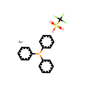 O=S(=O)([O-])C(F)(F)F.[Au+].c1ccc(P(c2ccccc2)c2ccccc2)cc1